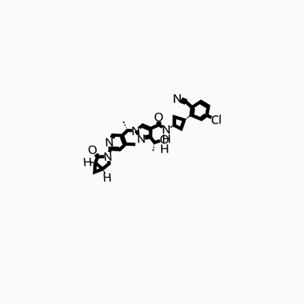 Cc1cc(N2C[C@H]3C[C@H]3C2=O)ncc1[C@H](C)n1cc(C(=O)N[C@H]2C[C@@H](c3cc(Cl)ccc3C#N)C2)c([C@@H](C)O)n1